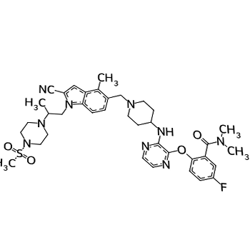 Cc1c(CN2CCC(Nc3nccnc3Oc3ccc(F)cc3C(=O)N(C)C)CC2)ccc2c1cc(C#N)n2CC(C)N1CCN(S(C)(=O)=O)CC1